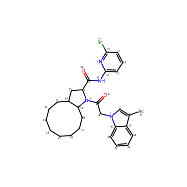 CC(=O)c1cn(CC(=O)N2C(C(=O)Nc3cccc(Br)n3)CC3CCCCCCCCC32)c2ccccc12